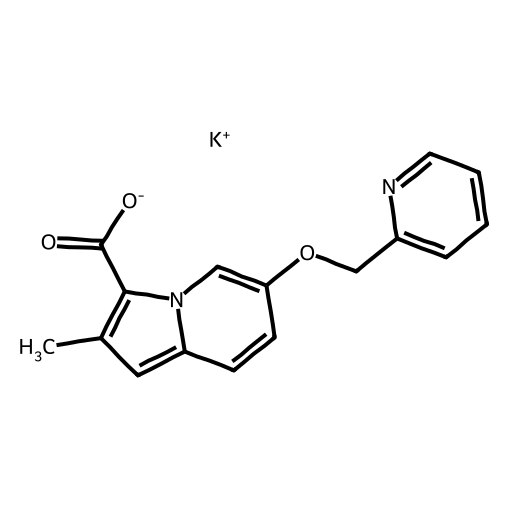 Cc1cc2ccc(OCc3ccccn3)cn2c1C(=O)[O-].[K+]